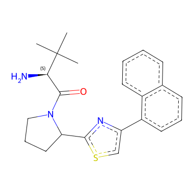 CC(C)(C)[C@H](N)C(=O)N1CCCC1c1nc(-c2cccc3ccccc23)cs1